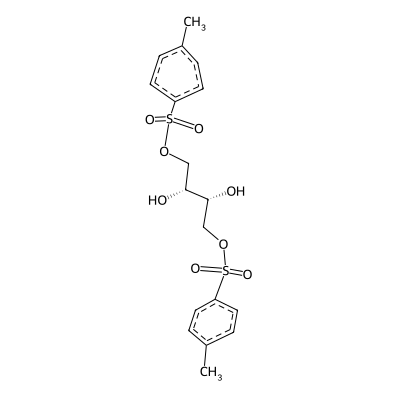 Cc1ccc(S(=O)(=O)OC[C@@H](O)[C@H](O)COS(=O)(=O)c2ccc(C)cc2)cc1